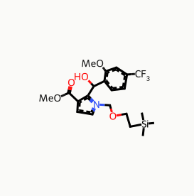 COC(=O)c1ccn(COCC[Si](C)(C)C)c1C(O)c1ccc(C(F)(F)F)cc1OC